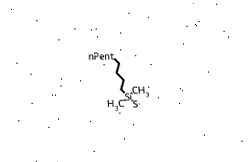 CCCCCCCCC[Si](C)(C)[S]